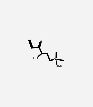 C=CC(=O)C(O)CC[Si](C)(C)OC